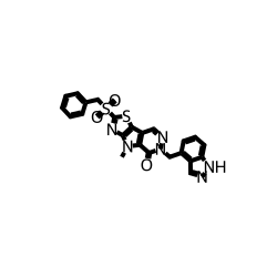 Cn1c2nc(S(=O)(=O)Cc3ccccc3)sc2c2cnn(Cc3cccc4[nH]ncc34)c(=O)c21